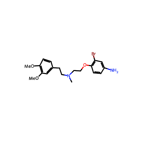 COc1ccc(CCN(C)CCOc2ccc(N)cc2Br)cc1OC